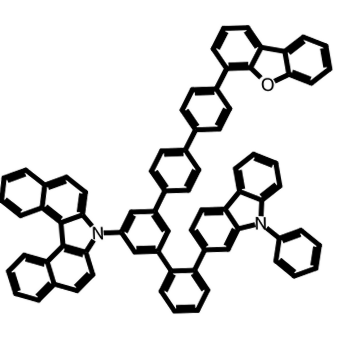 c1ccc(-n2c3ccccc3c3ccc(-c4ccccc4-c4cc(-c5ccc(-c6ccc(-c7cccc8c7oc7ccccc78)cc6)cc5)cc(-n5c6ccc7ccccc7c6c6c7ccccc7ccc65)c4)cc32)cc1